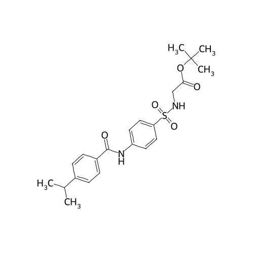 CC(C)c1ccc(C(=O)Nc2ccc(S(=O)(=O)NCC(=O)OC(C)(C)C)cc2)cc1